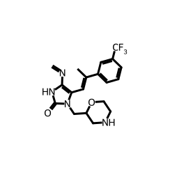 C=Nc1[nH]c(=O)n(CC2CNCCO2)c1/C=C(\C)c1cccc(C(F)(F)F)c1